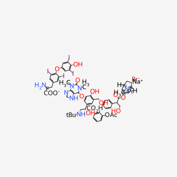 CC(=O)Oc1ccccc1C(=O)O.CC(C)(C)NCC(O)c1ccc(O)c(CO)c1.CC(C)[N+]1(C)[C@@H]2CC[C@H]1C[C@@H](OC(=O)C(CO)c1ccccc1)C2.Cn1c(=O)c2[nH]cnc2n(C)c1=O.N[C@@H](Cc1cc(I)c(Oc2cc(I)c(O)c(I)c2)c(I)c1)C(=O)[O-].[Br-].[Na+]